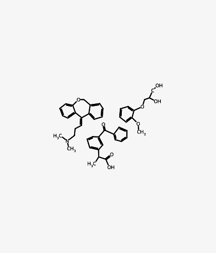 CC(C(=O)O)c1cccc(C(=O)c2ccccc2)c1.CN(C)CCC=C1c2ccccc2COc2ccccc21.COc1ccccc1OCC(O)CO